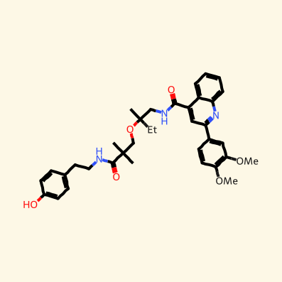 CCC(C)(CNC(=O)c1cc(-c2ccc(OC)c(OC)c2)nc2ccccc12)OCC(C)(C)C(=O)NCCc1ccc(O)cc1